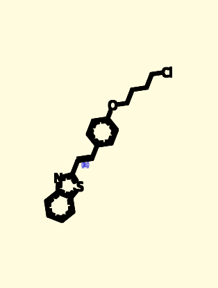 ClCCCCOc1ccc(/C=C/c2nc3ccccc3s2)cc1